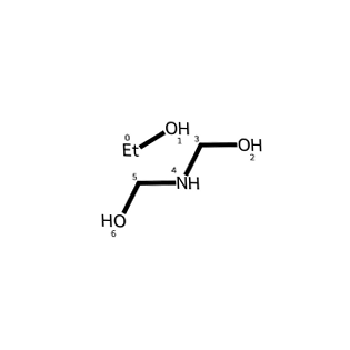 CCO.OCNCO